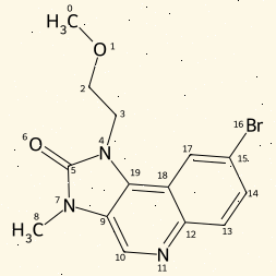 COCCn1c(=O)n(C)c2cnc3ccc(Br)cc3c21